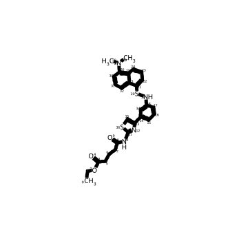 CCOC(=O)CCCC(=O)Nc1nc(-c2cccc(NSc3cccc4c(N(C)C)cccc34)c2)cs1